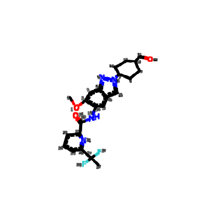 COc1cc2nn(C3CCC(C=O)CC3)cc2cc1NC(=O)c1cccc(C(C)(F)F)n1